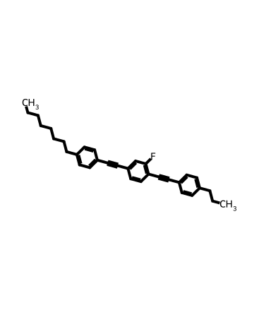 CCCCCCCCc1ccc(C#Cc2ccc(C#Cc3ccc(CCC)cc3)c(F)c2)cc1